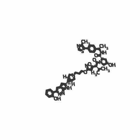 Cc1ncsc1-c1ccc([C@H](C)NC(=O)[C@@H]2C[C@@H](O)CN2C(=O)[C@@H](c2cc(OCCCN3C[C@@H]4[C@H](C3)[C@H]4c3cc4cc(-c5ccccc5O)nnc4[nH]3)no2)C(C)C)cc1